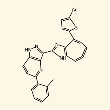 CC(=O)c1ccc(C2=CC=C=Cc3[nH]c(-c4n[nH]c5ccc(-c6ccccc6C)nc45)nc32)s1